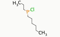 CCCCCCP(Cl)CCC